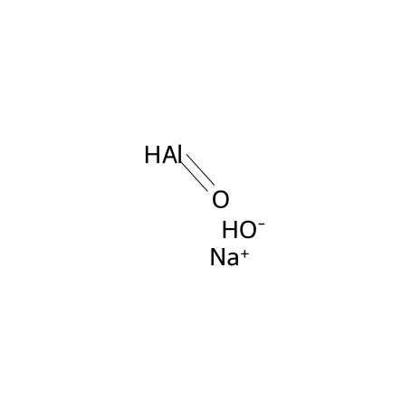 [Na+].[OH-].[O]=[AlH]